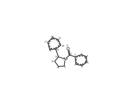 O=C(c1ccccc1)N1CCCC1c1c[c]ccc1